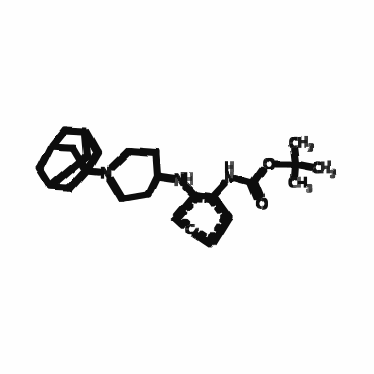 CC(C)(C)OC(=O)Nc1ccccc1NC1CCN(C23CC4CC(CC(C4)C2)C3)CC1